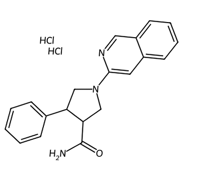 Cl.Cl.NC(=O)C1CN(c2cc3ccccc3cn2)CC1c1ccccc1